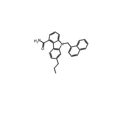 CCCc1c[c]c2c3c(C(N)=O)cccc3n(Cc3cccc4ccccc34)c2c1